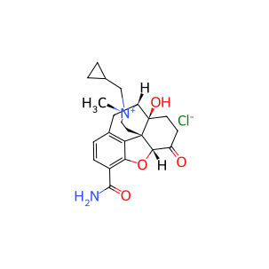 C[N@+]1(CC2CC2)CC[C@]23c4c5ccc(C(N)=O)c4O[C@H]2C(=O)CC[C@@]3(O)[C@H]1C5.[Cl-]